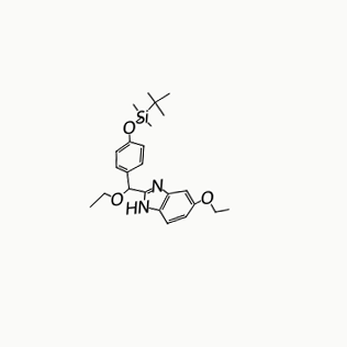 CCOc1ccc2[nH]c(C(OCC)c3ccc(O[Si](C)(C)C(C)(C)C)cc3)nc2c1